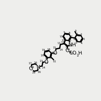 Cc1ccccc1-c1cccc2c(CCCOc3cccc(OCCN4CCOCC4)c3C)c(OC(=O)O)[nH]c12